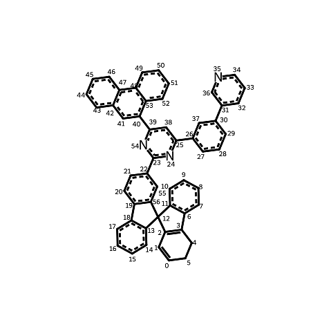 C1=CC2=C(CC1)c1ccccc1C21c2ccccc2-c2ccc(-c3nc(-c4cccc(-c5cccnc5)c4)cc(-c4cc5ccccc5c5ccccc45)n3)cc21